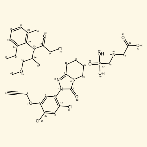 C#CCOc1cc(-n2nc3n(c2=O)CCCC3)c(Cl)cc1Cl.CCc1cccc(C)c1N(C(=O)CCl)C(C)COC.O=C(O)CNCP(=O)(O)O